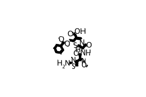 CON=C(C(=O)NC1C(=O)N2C=C(C(=O)O)C(COC(=O)C3CCCCC3)S[C@H]12)c1csc(N)n1